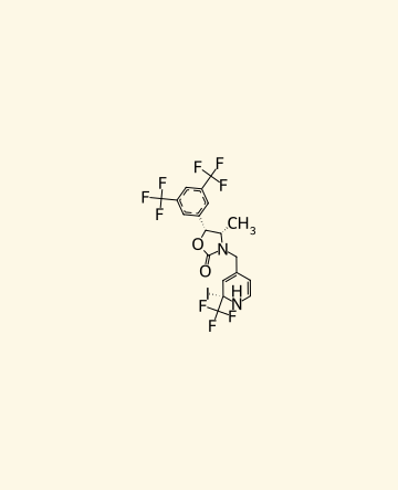 C[C@H]1[C@@H](c2cc(C(F)(F)F)cc(C(F)(F)F)c2)OC(=O)N1CC1=C[C@](I)(C(F)(F)F)NC=C1